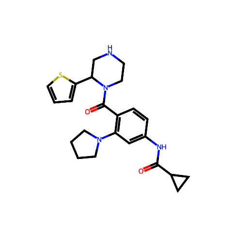 O=C(Nc1ccc(C(=O)N2CCNCC2c2cccs2)c(N2CCCC2)c1)C1CC1